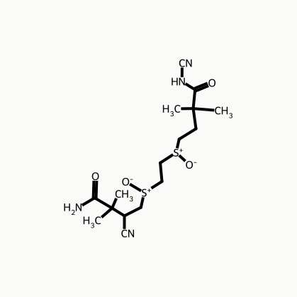 CC(C)(CC[S+]([O-])CC[S+]([O-])CC(C#N)C(C)(C)C(N)=O)C(=O)NC#N